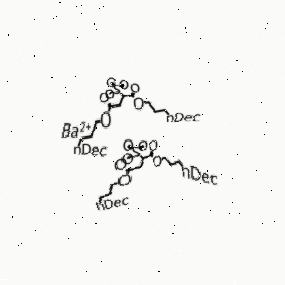 CCCCCCCCCCCCCOC(=O)CC(C(=O)OCCCCCCCCCCCCC)S(=O)(=O)[O-].CCCCCCCCCCCCCOC(=O)CC(C(=O)OCCCCCCCCCCCCC)S(=O)(=O)[O-].[Ba+2]